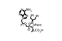 CCCCCN([C@@H](C)C(=O)O)P(=O)(CO[C@@H](C)Cn1cnc2c(N)ncnc21)ON=C(CC(C)C)CC(C)C